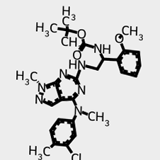 COc1ccccc1C(CNc1nc(N(C)c2ccc(C)c(Cl)c2)c2cnn(C)c2n1)NC(=O)OC(C)(C)C